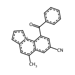 Cc1cc2cccn2c2c(C(=O)c3ccccc3)cc(C#N)cc12